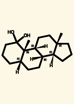 C[C@@]12CCC[C@H]1[C@@H]1CC[C@@H]3CCCC(O)(O)[C@]3(C)[C@H]1CC2